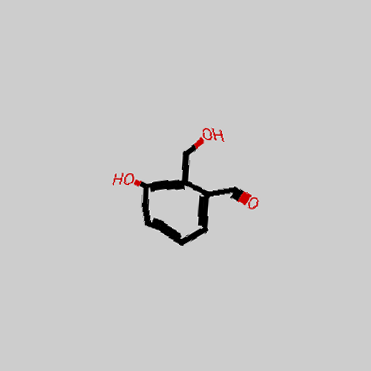 O=Cc1cccc(O)c1CO